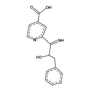 N=C(c1cc(C(=O)O)ccn1)C(O)Cc1ccccc1